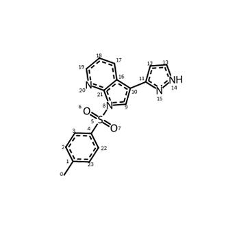 Cc1ccc(S(=O)(=O)n2cc(-c3cc[nH]n3)c3cccnc32)cc1